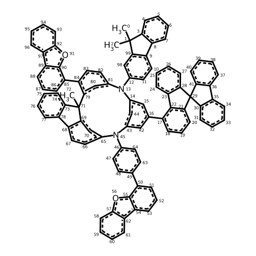 CC1(C)c2ccccc2-c2ccc(N3c4cc(-c5cccc6c5-c5ccccc5C65c6ccccc6-c6ccccc65)cc(c4)N(c4ccc(-c5cccc6c5oc5ccccc56)cc4)c4ccc5c(c4)C(C)(c4ccccc4-5)c4cc3ccc4-c3cccc4c3oc3ccccc34)cc21